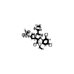 CCOC(=O)C1=C2C[C@H](NS(C)(=O)=O)CN2C(c2nccs2)=N[C@H]1c1ccc(Cl)cc1Cl